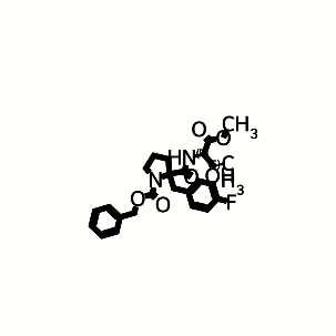 COC(=O)[C@H](NC(=O)C1(Cc2ccc(F)cc2)CCCN1C(=O)OCc1ccccc1)[C@H](C)O